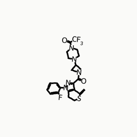 C=C1SCCc2c1c(C(=O)N1CC(N3CCN(C(=O)C(F)(F)F)CC3)C1)nn2-c1ccccc1F